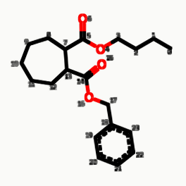 CCCCOC(=O)C1CCCCCC1C(=O)OCc1ccccc1